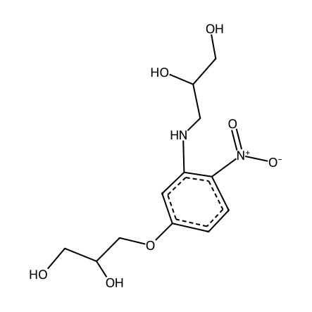 O=[N+]([O-])c1ccc(OCC(O)CO)cc1NCC(O)CO